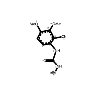 CCCCNC(=O)Nc1ccc(OC)c(OC)c1C#N